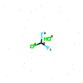 Cl.FC(F)Cl